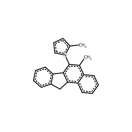 Cc1c(-n2cccc2C)c2c(c3ccccc13)Cc1ccccc1-2